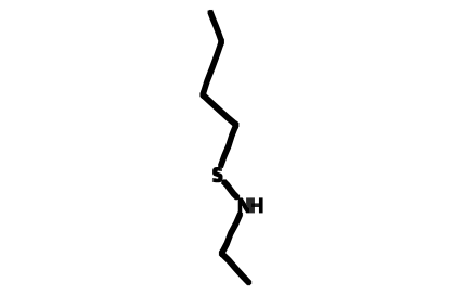 CCCCSNCC